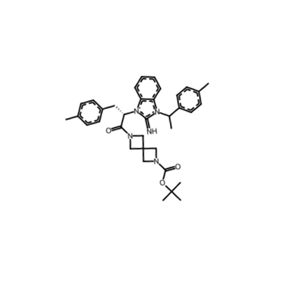 Cc1ccc(C[C@@H](C(=O)N2CC3(CN(C(=O)OC(C)(C)C)C3)C2)n2c(=N)n(C(C)c3ccc(C)cc3)c3ccccc32)cc1